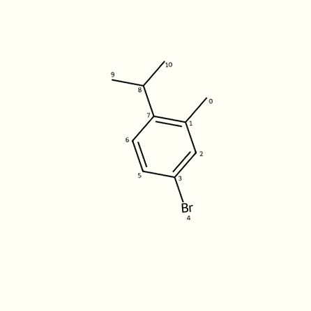 Cc1cc(Br)ccc1C(C)C